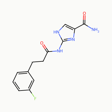 NC(=O)c1c[nH]c(NC(=O)C[CH]c2cccc(F)c2)n1